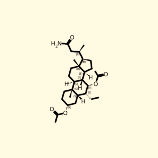 CC[C@H]1[C@@H](OC(C)=O)[C@@H]2[C@H](CC[C@]3(C)[C@@H]([C@H](C)CC(N)=O)CC[C@@H]23)[C@@]2(C)CC[C@@H](OC(C)=O)C[C@@H]12